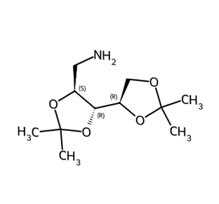 CC1(C)O[C@@H]([C@H]2COC(C)(C)O2)[C@H](CN)O1